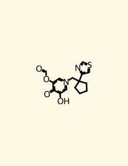 O=COc1cn(CC2(c3cscn3)CCCC2)cc(O)c1=O